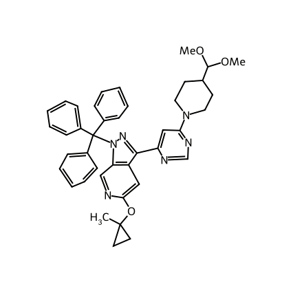 COC(OC)C1CCN(c2cc(-c3nn(C(c4ccccc4)(c4ccccc4)c4ccccc4)c4cnc(OC5(C)CC5)cc34)ncn2)CC1